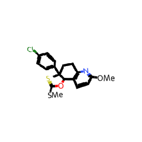 COc1ccc2c(n1)CCC(C)(c1ccc(Cl)cc1)C2OC(=S)SC